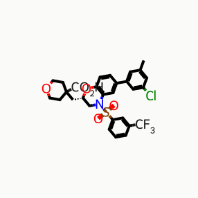 Cc1cc(Cl)cc(-c2ccc3c(c2)N(S(=O)(=O)c2cccc(C(F)(F)F)c2)C[C@H](CC2(C(=O)O)CCOCC2)O3)c1